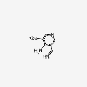 CC(C)(C)c1cncc(C=N)c1N